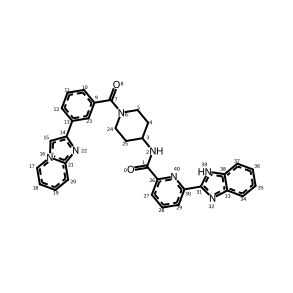 O=C(NC1CCN(C(=O)c2cccc(-c3cn4ccccc4n3)c2)CC1)c1cccc(-c2nc3ccccc3[nH]2)n1